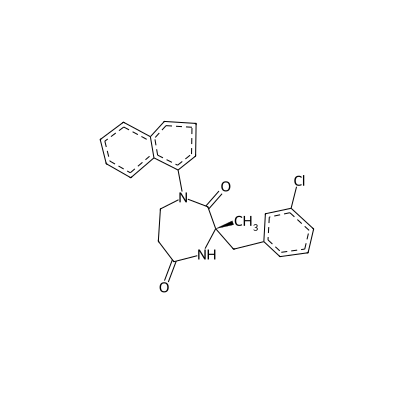 C[C@@]1(Cc2cccc(Cl)c2)NC(=O)CCN(c2cccc3ccccc23)C1=O